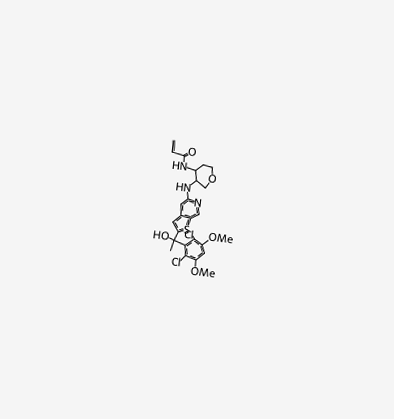 C=CC(=O)NC1CCOCC1Nc1cc2cc(C(C)(O)c3c(Cl)c(OC)cc(OC)c3Cl)sc2cn1